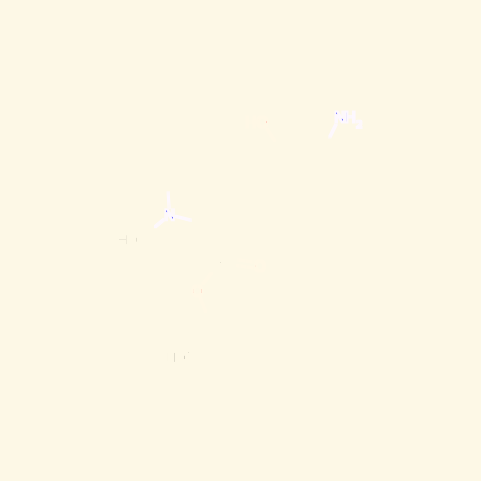 CCOC(=O)c1c(CC(O)CN)ccn1C